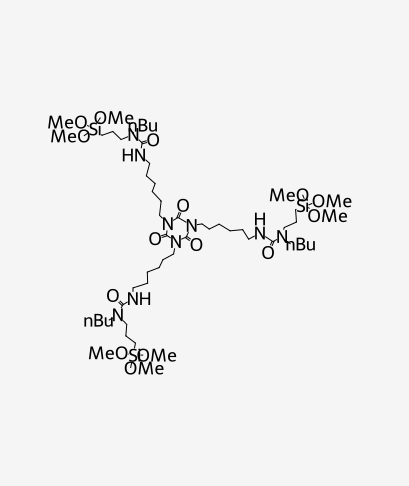 CCCCN(CCC[Si](OC)(OC)OC)C(=O)NCCCCCCn1c(=O)n(CCCCCCNC(=O)N(CCCC)CCC[Si](OC)(OC)OC)c(=O)n(CCCCCCNC(=O)N(CCCC)CCC[Si](OC)(OC)OC)c1=O